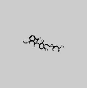 CCNCC(=O)OCCN1C(=O)CCC(N2C(=O)c3cccc(NC)c3C2=O)C1=O